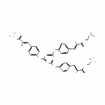 CCOC(=O)/C(=C\c1ccc(Nc2nc(Nc3ccc(/C=C(\C(=O)OCC)C(=O)OC[Si](C)(C)C)cc3)nc(Nc3ccc(/C=C(\C(=O)OCC)C(=O)O[Si](C)(C)C)cc3)n2)cc1)C(=O)OC[Si](C)(C)C